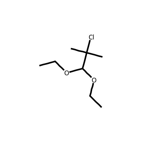 CCOC(OCC)C(C)(C)Cl